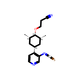 C[C@@H]1C[C@H](c2ccncc2N=C=S)C[C@H](C)[C@@H]1OCCC#N